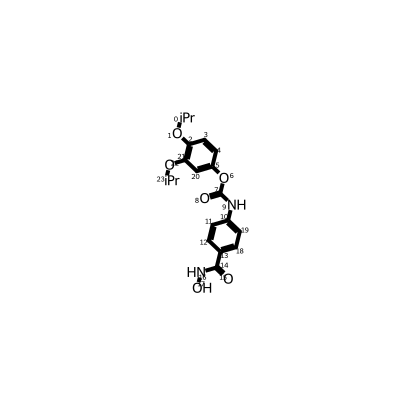 CC(C)Oc1ccc(OC(=O)Nc2ccc(C(=O)NO)cc2)cc1OC(C)C